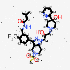 CC(C)=CC(=O)NCc1cc(-c2nn(CC(O)CN3CCC(O)(c4ccccn4)CC3)c3c2CN(S(C)(=O)=O)CC3)ccc1C(F)(F)F